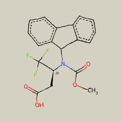 COC(=O)N(C1c2ccccc2-c2ccccc21)[C@@H](CC(=O)O)C(F)(F)F